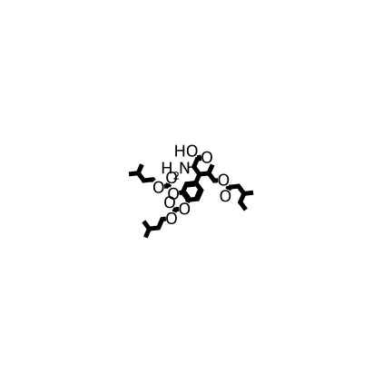 CCC(C)CC(=O)OCC(C)C(c1ccc(OC(=O)OCCC(C)C)c(OC(=O)OCCC(C)C)c1)[C@H](N)C(=O)O